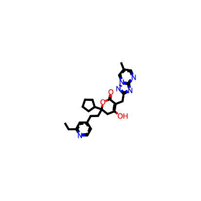 CCc1cc(CCC2(C3CCCC3)CC(O)=C(Cc3nc4ncc(C)cn4n3)C(=O)O2)ccn1